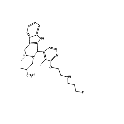 Cc1c(C2c3[nH]c4ccccc4c3C[C@@H](C)N2CC(C)C(=O)O)ccnc1OCCNCCCF